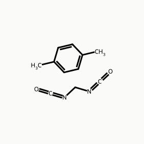 Cc1ccc(C)cc1.O=C=NCN=C=O